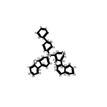 c1ccc(-c2ccc(N(c3ccc4c(c3)oc3ccccc34)c3cncc4c3sc3ccc5ccccc5c34)cc2)cc1